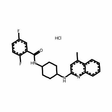 Cc1cc(NC2CCC(NC(=O)c3cc(F)ccc3F)CC2)nc2ccccc12.Cl